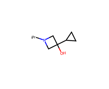 CC(C)N1CC(O)(C2CC2)C1